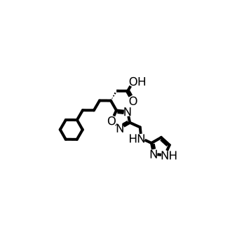 O=C(O)C[C@@H](CCCC1CCCCC1)c1nc(CNc2cc[nH]n2)no1